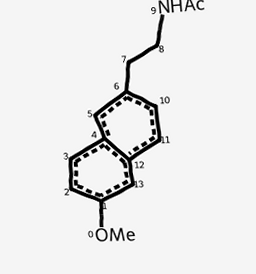 COc1ccc2cc(CCNC(C)=O)ccc2c1